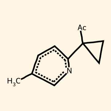 CC(=O)C1(c2ccc(C)cn2)CC1